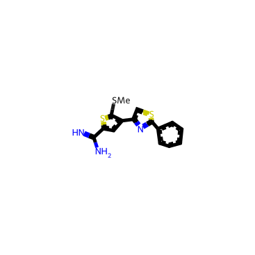 CSc1sc(C(=N)N)cc1-c1csc(-c2ccccc2)n1